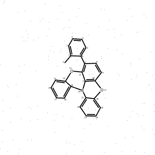 Cc1ccccc1-c1ccc2c3c1Oc1ccccc1B3c1ccccc1O2